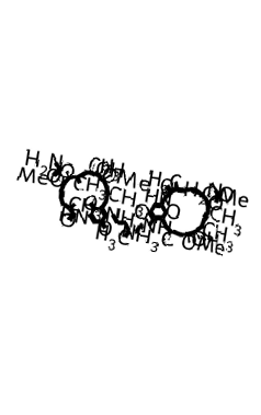 CO[C@H]1/C=C\C=C(/C)C(=O)NC2=CC(=O)C(NCCN(C)CCNC3=C4C[C@@H](C)C[C@H](OC)[C@H](O)[C@@H](C)/C=C(\C)[C@H](OC(N)=O)[C@@H](OC)/C=C\C=C(/C)C(=O)NC(=CC3=O)C4=O)=C(C[C@@H](C)C[C@H](OC)[C@H](O)[C@@H](C)/C=C(\C)[C@@H]1OC(N)=O)C2=O